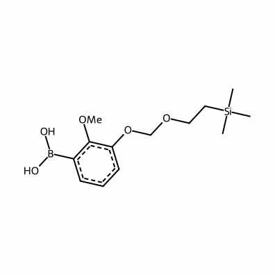 COc1c(OCOCC[Si](C)(C)C)cccc1B(O)O